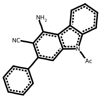 CC(=O)n1c2ccccc2c2c(N)c(C#N)c(-c3ccccc3)cc21